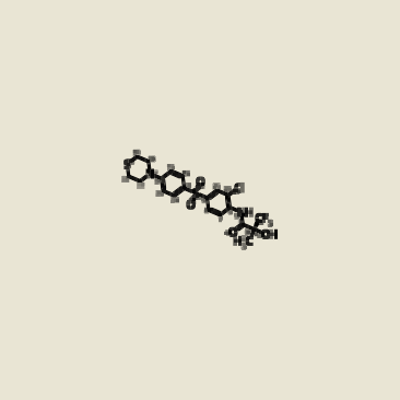 C[C@@](O)(C(=O)Nc1ccc(S(=O)(=O)c2ccc(N3CCSCC3)cc2)cc1Cl)C(F)(F)F